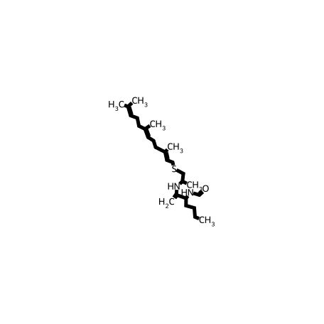 C=C(NC(C)CSC/C=C(\C)CC/C=C(\C)CCC=C(C)C)C(CCCC)NC=O